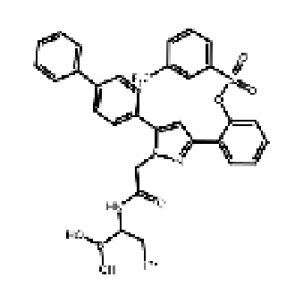 CC(C)CC(NC(=O)Cn1nc(-c2ccccc2OS(=O)(=O)c2cccc(C(F)(F)F)c2)cc1-c1ccc(-c2ccccc2)cc1)B(O)O